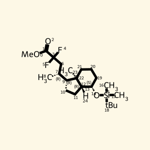 COC(=O)C(F)(F)C[C@@H](C)[C@H]1CC[C@H]2[C@@H](O[Si](C)(C)C(C)(C)C)CCC[C@]12C